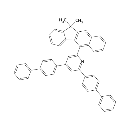 CC1(C)c2ccccc2-c2c1cc1ccccc1c2-c1cc(-c2ccc(-c3ccccc3)cc2)cc(-c2ccc(-c3ccccc3)cc2)n1